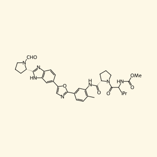 COC(=O)NC(C(=O)N1CCC[C@H]1C(=O)Nc1cc(-c2ncc(-c3ccc4nc([C@@H]5CCCN5C=O)[nH]c4c3)o2)ccc1C)C(C)C